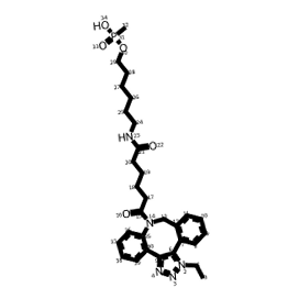 CCn1nnc2c1-c1ccccc1CN(C(=O)CCCCC(=O)NCCCCCCOP(C)(=O)O)c1ccccc1-2